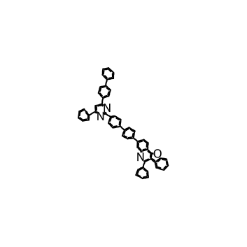 c1ccc(-c2ccc(-c3cc(-c4ccccc4)nc(-c4ccc(-c5ccc(-c6ccc7c(c6)nc(-c6ccccc6)c6c8ccccc8oc76)cc5)cc4)n3)cc2)cc1